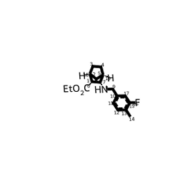 CCOC(=O)[C@@H]1[C@H]2CC[C@H](C2)[C@@H]1NCc1ccc(C)c(F)c1